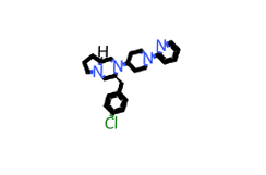 Clc1ccc(C[C@H]2CN3CCC[C@H]3CN2C2CCN(c3ccccn3)CC2)cc1